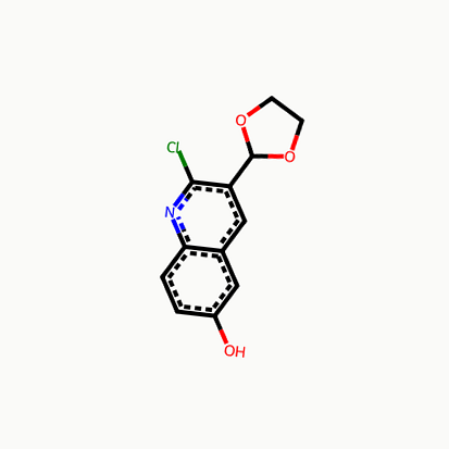 Oc1ccc2nc(Cl)c(C3OCCO3)cc2c1